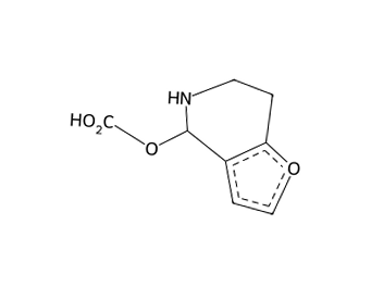 O=C(O)OC1NCCc2occc21